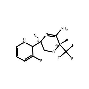 C[C@@]1(C2N[C]=CC=C2F)CO[C@@](C)(C(F)(F)F)C(N)=N1